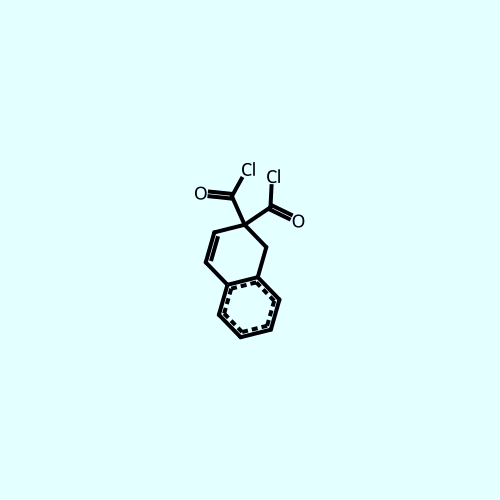 O=C(Cl)C1(C(=O)Cl)C=Cc2ccccc2C1